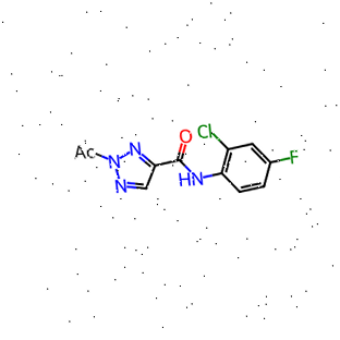 CC(=O)n1ncc(C(=O)Nc2ccc(F)cc2Cl)n1